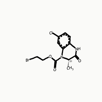 C[C@H]1C(=O)Nc2ccc(Cl)cc2N1C(=O)OCCBr